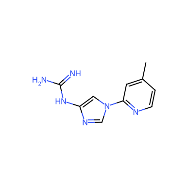 Cc1ccnc(-n2cnc(NC(=N)N)c2)c1